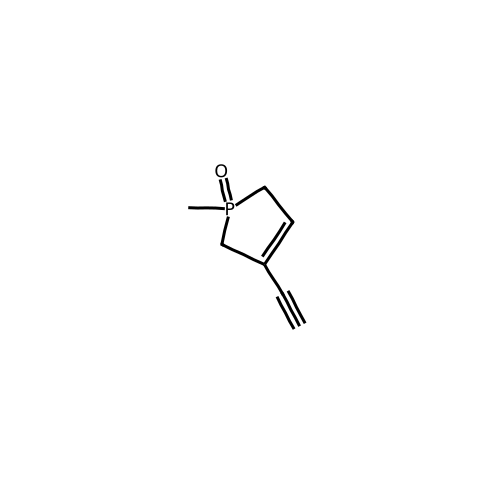 C#CC1=CCP(C)(=O)C1